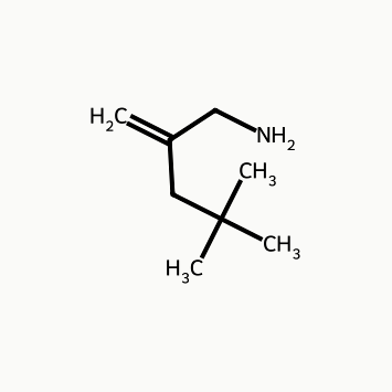 C=C(CN)CC(C)(C)C